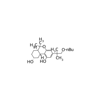 CCCCOCC(C)(C)c1cc(O)c2c(c1)OC(C)(C)[C@@H]1CC[C@@H](O)C[C@@H]21